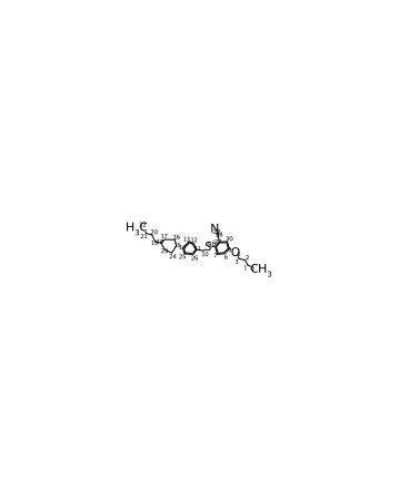 CCCCOc1ccc(SCc2ccc([C@H]3CC[C@H](CCCC)CC3)cc2)c(C#N)c1